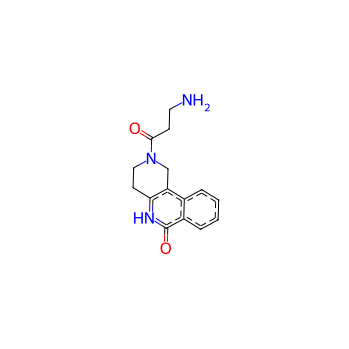 NCCC(=O)N1CCc2[nH]c(=O)c3ccccc3c2C1